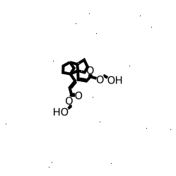 O=C(C=CC12CCC(C1)C1CCCC12C=CC(=O)OCO)OCO